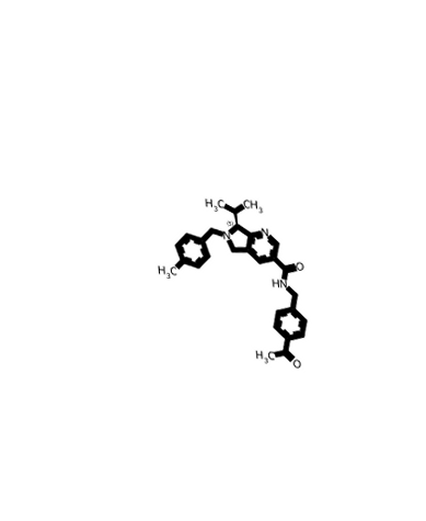 CC(=O)c1ccc(CNC(=O)c2cnc3c(c2)CN(Cc2ccc(C)cc2)[C@H]3C(C)C)cc1